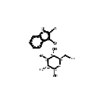 Clc1[nH]c2ccccc2c1Br.OC[C@H]1O[C@@H](O)[C@H](O)[C@@H](O)[C@@H]1O